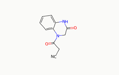 N#CCC(=O)N1CC(=O)Nc2ccccc21